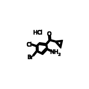 Cl.Nc1cc(Br)c(Cl)cc1C(=O)C1CC1